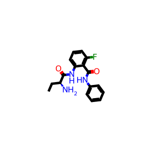 CC[C@H](N)C(=O)Nc1cccc(F)c1C(=O)Nc1ccccc1